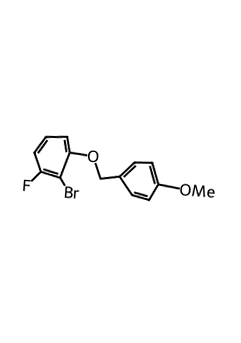 COc1ccc(COc2cccc(F)c2Br)cc1